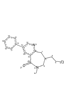 CN1CC(CCCl)Cc2ncc(-c3ccccc3)cc2C1=O